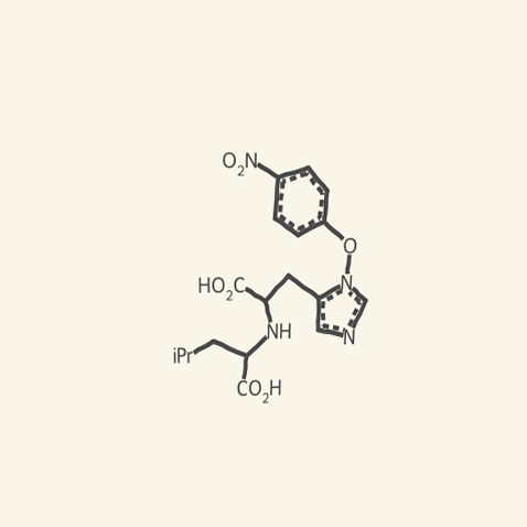 CC(C)CC(NC(Cc1cncn1Oc1ccc([N+](=O)[O-])cc1)C(=O)O)C(=O)O